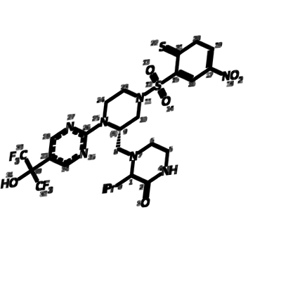 CC(C)C1C(=O)NCCN1C[C@H]1CN(S(=O)(=O)C2=CC([N+](=O)[O-])=CCC2=S)CCN1c1ncc(C(O)(C(F)(F)F)C(F)(F)F)cn1